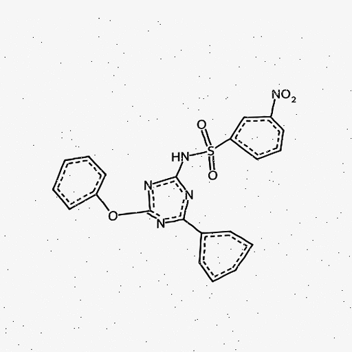 O=[N+]([O-])c1cccc(S(=O)(=O)Nc2nc(Oc3ccccc3)nc(-c3ccccc3)n2)c1